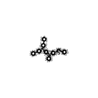 c1ccc(-c2ccc(N(c3ccc(-c4ccccc4)cc3)c3ccc(N(c4ccccc4)c4ccc(-c5ccc(-c6ccccc6)s5)cc4)cc3)cc2)cc1